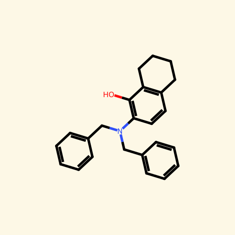 Oc1c(N(Cc2ccccc2)Cc2ccccc2)ccc2c1CCCC2